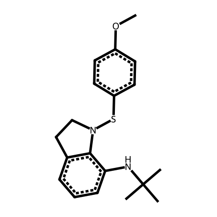 COc1ccc(SN2CCc3cccc(NC(C)(C)C)c32)cc1